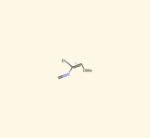 C=N/C(=C\OC)CC